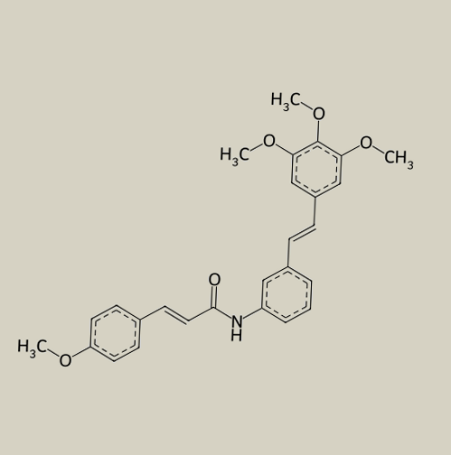 COc1ccc(/C=C/C(=O)Nc2cccc(/C=C/c3cc(OC)c(OC)c(OC)c3)c2)cc1